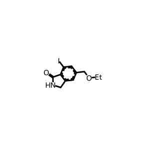 CCOCc1cc(I)c2c(c1)CNC2=O